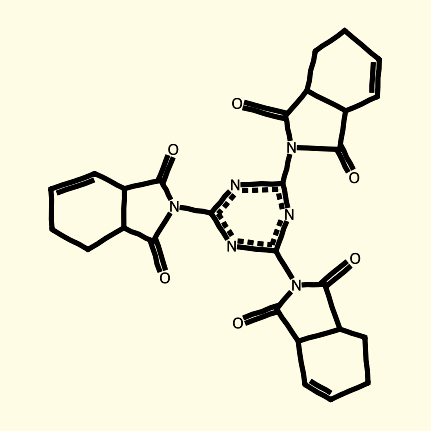 O=C1C2C=CCCC2C(=O)N1c1nc(N2C(=O)C3C=CCCC3C2=O)nc(N2C(=O)C3C=CCCC3C2=O)n1